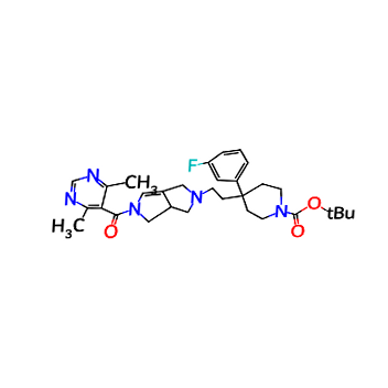 Cc1ncnc(C)c1C(=O)N1C=C2CN(CCC3(c4cccc(F)c4)CCN(C(=O)OC(C)(C)C)CC3)CC2C1